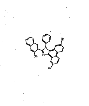 Oc1cc2ccccc2cc1-c1nc2c3cc(Br)ccc3c3ccc(Br)cc3c2n1-c1ccccc1